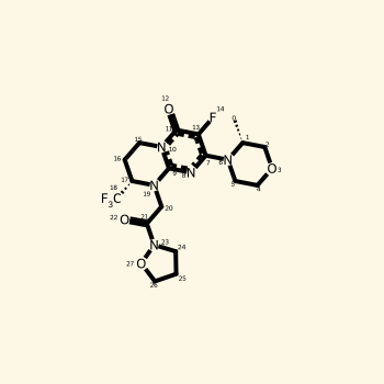 C[C@@H]1COCCN1c1nc2n(c(=O)c1F)CC[C@@H](C(F)(F)F)N2CC(=O)N1CCCO1